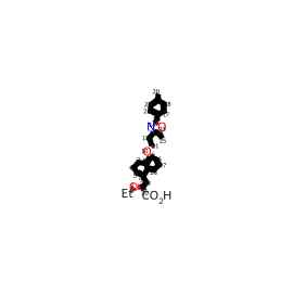 CCOC(CC1=CCCc2c(OCCc3nc(-c4ccc(C)cc4)oc3C)cccc21)C(=O)O